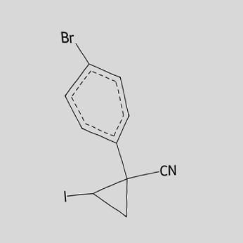 N#CC1(c2ccc(Br)cc2)CC1I